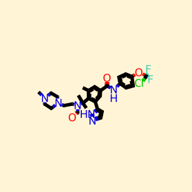 Cc1cc(C(=O)Nc2ccc(OC(F)(F)Cl)cc2)cc(-c2ccn[nH]2)c1C(C)(C)N(C=O)CCN1CCN(C)CC1